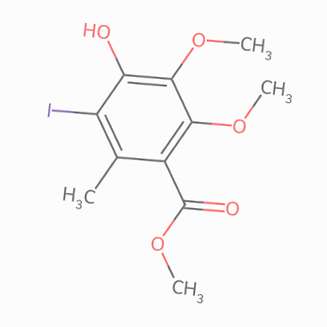 COC(=O)c1c(C)c(I)c(O)c(OC)c1OC